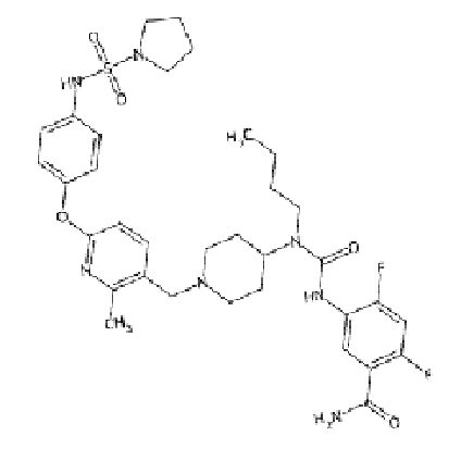 CCCCN(C(=O)Nc1cc(C(N)=O)c(F)cc1F)C1CCN(Cc2ccc(Oc3ccc(NS(=O)(=O)N4CCCC4)cc3)nc2C)CC1